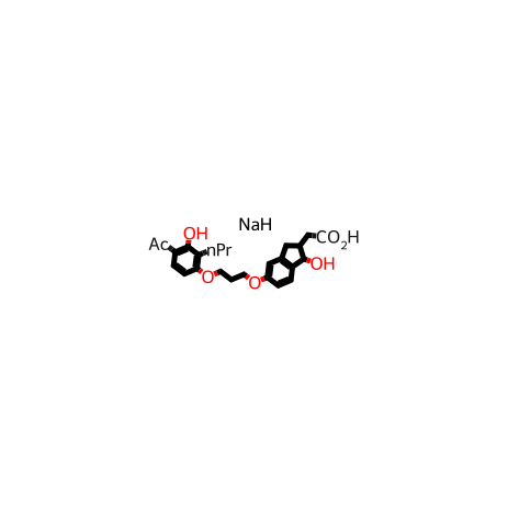 CCCc1c(OCCCOc2ccc3c(c2)CC(CC(=O)O)C3O)ccc(C(C)=O)c1O.[NaH]